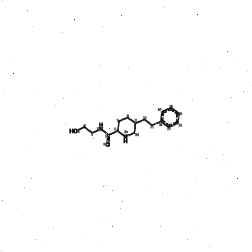 O=C(NCCO)C1CCC(CCc2ccccc2)CN1